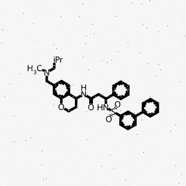 CC(C)CN(C)Cc1ccc2c(c1)OCCC2NC(=O)CC(NS(=O)(=O)c1cccc(-c2ccccc2)c1)c1ccccc1